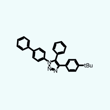 CC(C)(C)c1ccc(-c2nnn(-c3ccc(-c4ccccc4)cc3)c2-c2ccccc2)cc1